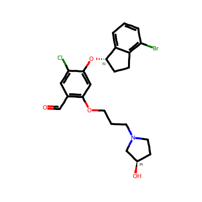 O=Cc1cc(Cl)c(O[C@H]2CCc3c(Br)cccc32)cc1OCCCN1CC[C@@H](O)C1